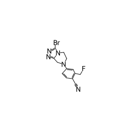 N#Cc1ccc(N2CCn3c(Br)nnc3C2)cc1CF